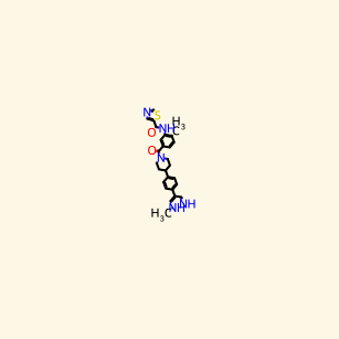 CN/C=C(\C=N)c1ccc(C2CCN(C(=O)c3ccc(C)c(NC(=O)c4cncs4)c3)CC2)cc1